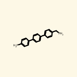 PCc1ccc(-c2ccc(-c3ccc(P)cc3)cc2)cc1